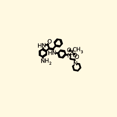 CS(=O)(=O)N(CC(=O)N1CCCCC1)c1ccc(NC(=C2C(=O)Nc3ccc(N)cc32)c2ccccc2)cc1